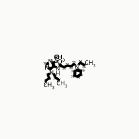 CCCCN(CCCC)c1ncnc(SC)c1NC(=O)CCCCN(CCC)c1ccccc1